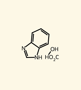 O=C(O)O.c1ccc2[nH]cnc2c1